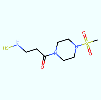 CS(=O)(=O)N1CCN(C(=O)CCNS)CC1